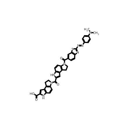 CN(C)c1ccc(/N=N/c2nc3ccc(C(=O)N4CCc5c4ccc4[nH]c(C(=O)N6CCc7c6ccc6[nH]c(C(=O)O)cc76)cc54)cc3s2)cc1